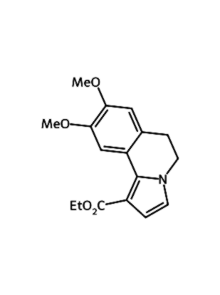 CCOC(=O)c1ccn2c1-c1cc(OC)c(OC)cc1CC2